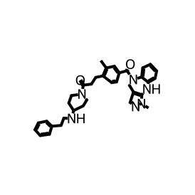 Cc1cc(C(=O)N2Cc3cnn(C)c3Nc3ccccc32)ccc1CCC(=O)N1CCC(NCCc2ccccc2)CC1